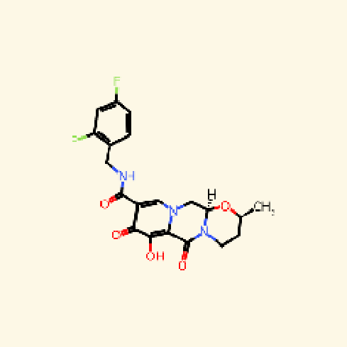 C[C@H]1CCN2C(=O)c3c(O)c(=O)c(C(=O)NCc4ccc(F)cc4F)cn3C[C@H]2O1